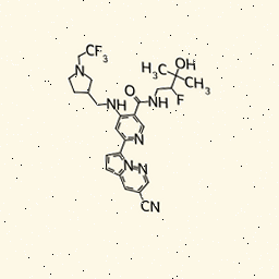 CC(C)(O)C(F)CNC(=O)c1cnc(-c2ccc3cc(C#N)cnn23)cc1NCC1CCN(CC(F)(F)F)C1